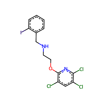 Clc1cc(Cl)c(OCCNCc2ccccc2I)nc1Cl